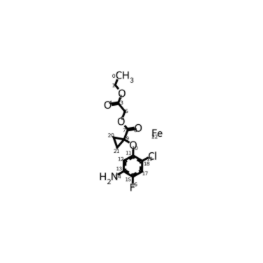 CCOC(=O)COC(=O)C1(Oc2cc(N)c(F)cc2Cl)CC1.[Fe]